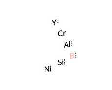 [Al].[B].[Cr].[Ni].[Si].[Y]